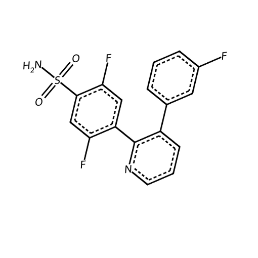 NS(=O)(=O)c1cc(F)c(-c2ncccc2-c2cccc(F)c2)cc1F